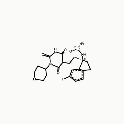 CC(C)(C)[S@+]([O-])N[C@@]1(CCC2C(=O)NC(=O)N(C3CCOCC3)C2=O)CCc2ccc(F)cc21